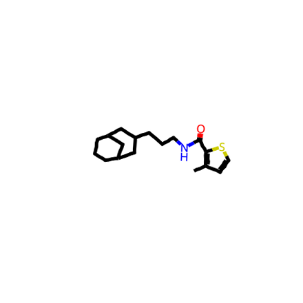 Cc1ccsc1C(=O)NCCCC1CC2CCCC(C1)C2